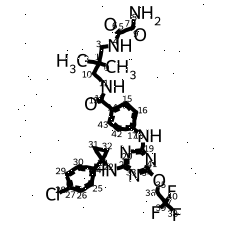 CC(C)(CNC(=O)C(N)=O)CNC(=O)c1ccc(Nc2nc(NC3(c4ccc(Cl)cc4)CC3)nc(OCC(F)(F)F)n2)cc1